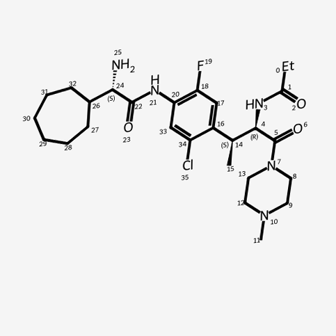 CCC(=O)N[C@@H](C(=O)N1CCN(C)CC1)[C@@H](C)c1cc(F)c(NC(=O)[C@@H](N)C2CCCCCC2)cc1Cl